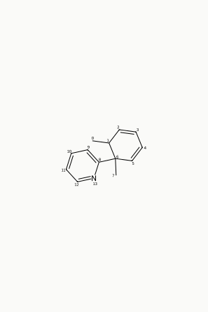 CC1C=CC=CC1(C)c1ccccn1